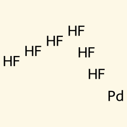 F.F.F.F.F.F.[Pd]